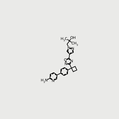 CC(C)(O)Cn1cc(-c2nc(C3(c4ccc(-c5ccc(N)nc5)cc4)CCC3)no2)cn1